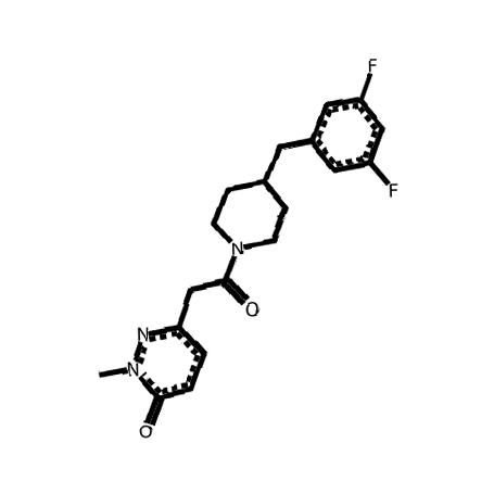 Cn1nc(CC(=O)N2CCC(Cc3cc(F)cc(F)c3)CC2)ccc1=O